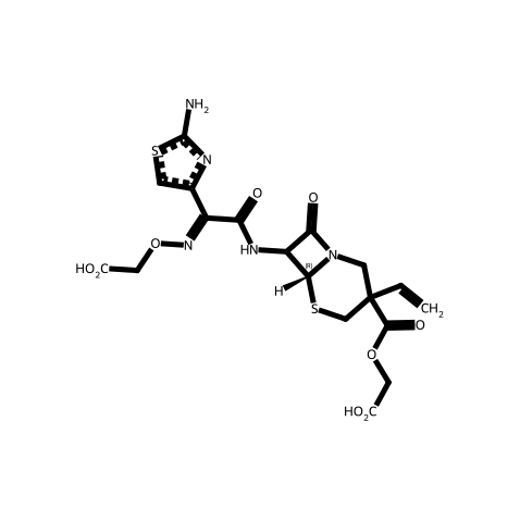 C=CC1(C(=O)OCC(=O)O)CS[C@@H]2C(NC(=O)C(=NOCC(=O)O)c3csc(N)n3)C(=O)N2C1